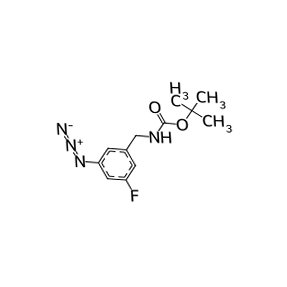 CC(C)(C)OC(=O)NCc1cc(F)cc(N=[N+]=[N-])c1